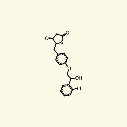 O=C1CC(=O)C(Cc2ccc(OCC(O)c3ccccc3Cl)cc2)S1